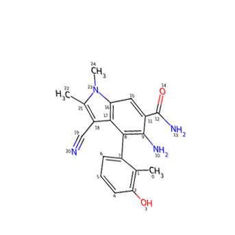 Cc1c(O)cccc1-c1c(N)c(C(N)=O)cc2c1c(C#N)c(C)n2C